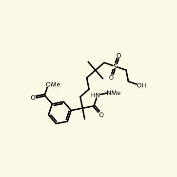 CNNC(=O)C(C)(CCCC(C)(C)CS(=O)(=O)CCO)c1cccc(C(=O)OC)c1